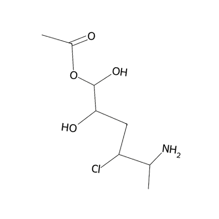 CC(=O)OC(O)C(O)CC(Cl)C(C)N